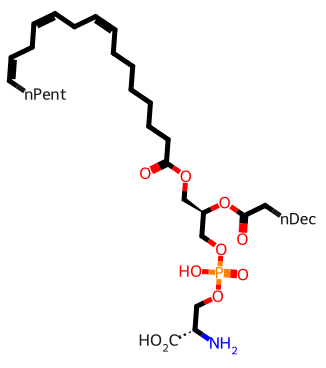 CCCCC/C=C\C/C=C\C/C=C\CCCCCCC(=O)OC[C@H](COP(=O)(O)OC[C@H](N)C(=O)O)OC(=O)CCCCCCCCCCC